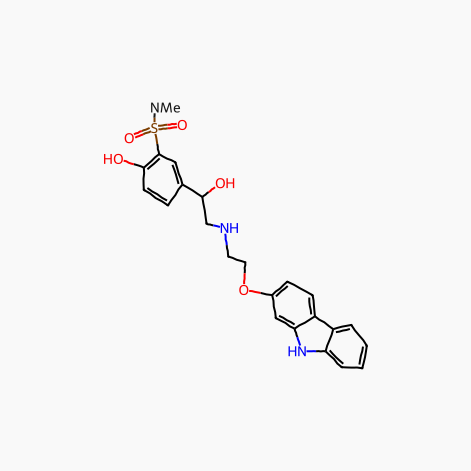 CNS(=O)(=O)c1cc(C(O)CNCCOc2ccc3c(c2)[nH]c2ccccc23)ccc1O